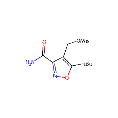 COCc1c(C(N)=O)noc1C(C)(C)C